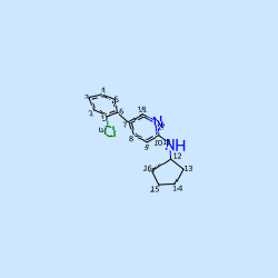 Clc1ccccc1-c1ccc(NC2CCCC2)nc1